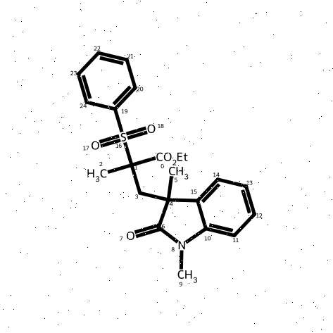 CCOC(=O)C(C)(CC1(C)C(=O)N(C)c2ccccc21)S(=O)(=O)c1ccccc1